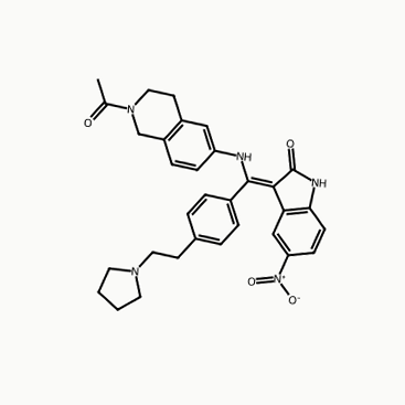 CC(=O)N1CCc2cc(N/C(=C3\C(=O)Nc4ccc([N+](=O)[O-])cc43)c3ccc(CCN4CCCC4)cc3)ccc2C1